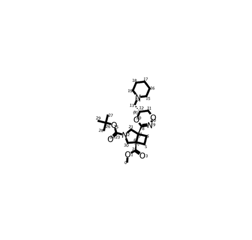 COC(=O)[C@]12CC[C@@]1(C1=NOC[C@@H](CN3CCCCC3)O1)CN(C(=O)OC(C)(C)C)C2